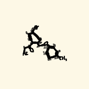 CC(=O)CC(=O)c1ccc(Br)cc1COc1ccc(C)cc1